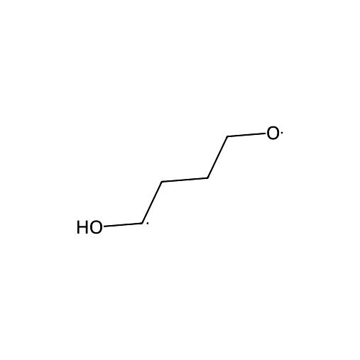 [O]CCC[CH]O